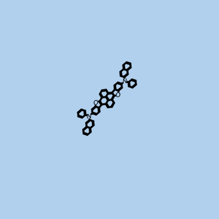 c1ccc(N(c2ccc3ccccc3c2)c2ccc3c(c2)oc2c4cccc5c6c7ccc(N(c8ccccc8)c8ccc9ccccc9c8)cc7oc6c6cccc(c32)c6c45)cc1